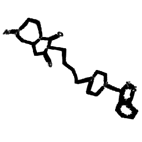 CC(=O)N1CCN2C(=O)N(CCCCN3CCN(c4nsc5ccccc45)CC3)C(=O)CC2C1